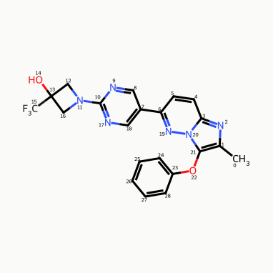 Cc1nc2ccc(-c3cnc(N4CC(O)(C(F)(F)F)C4)nc3)nn2c1Oc1ccccc1